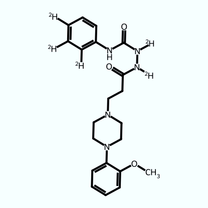 [2H]c1ccc(NC(=O)N([2H])N([2H])C(=O)CCN2CCN(c3ccccc3OC)CC2)c([2H])c1[2H]